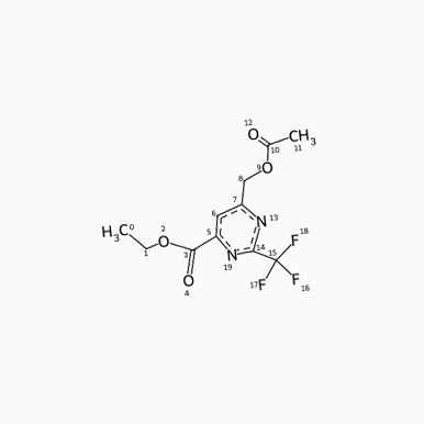 CCOC(=O)c1cc(COC(C)=O)nc(C(F)(F)F)n1